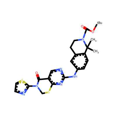 CC(C)(C)OC(=O)N1CCc2cc(Nc3ncc4c(n3)SCN(c3nccs3)C4=O)ccc2C1(C)C